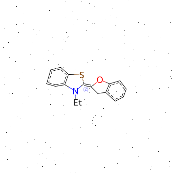 CCN1/C(=C2\Cc3ccccc3O2)Sc2ccccc21